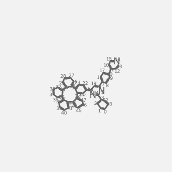 c1ccc(-c2nc(-c3ccc(-c4ccncc4)cc3)cc(-c3ccc4c5ccccc5c5ccccc5c5ccccc5c5ccccc5c4c3)n2)cc1